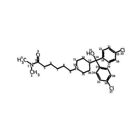 CN(C)C(=O)CCCCCN1CCC(C(O)(c2ccc(Cl)cc2)c2ccc(Cl)cc2)CC1